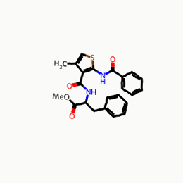 COC(=O)C(Cc1ccccc1)NC(=O)c1c(C)csc1NC(=O)c1ccccc1